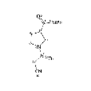 CNC(=O)C1CCN(C(=O)CC#N)C1